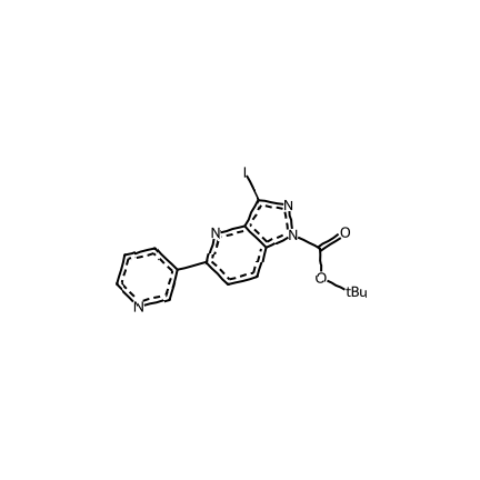 CC(C)(C)OC(=O)n1nc(I)c2nc(-c3cccnc3)ccc21